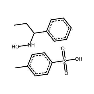 CCC(NO)c1ccccc1.Cc1ccc(S(=O)(=O)O)cc1